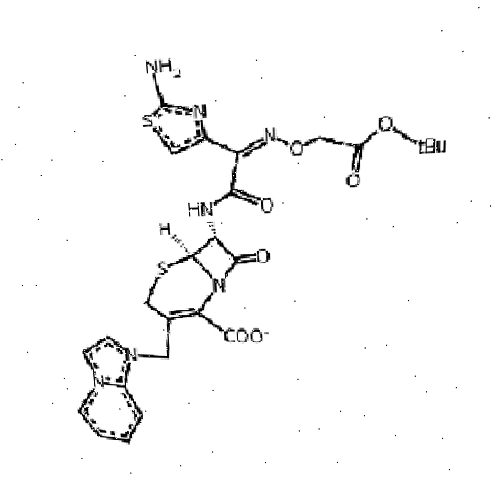 CC(C)(C)OC(=O)CO/N=C(\C(=O)N[C@@H]1C(=O)N2C(C(=O)[O-])=C(Cn3cc[n+]4ccccc34)CS[C@@H]12)c1csc(N)n1